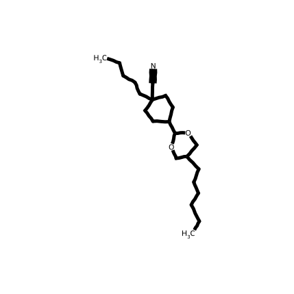 CCCCCCC1COC(C2CCC(C#N)(CCCCC)CC2)OC1